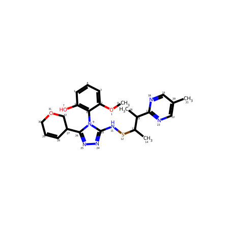 COc1cccc(O)c1-n1c(NSC(C)C(C)c2ncc(C)cn2)nnc1C1C=CCOC1